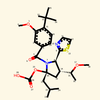 COc1cc(C(=O)N2[C@@H](c3nccs3)[C@H](C(C)OC)C[C@]2(CC(C)C)OC(=O)O)ccc1C(C)(C)C